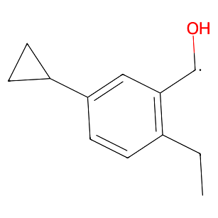 CCc1ccc(C2CC2)cc1[CH]O